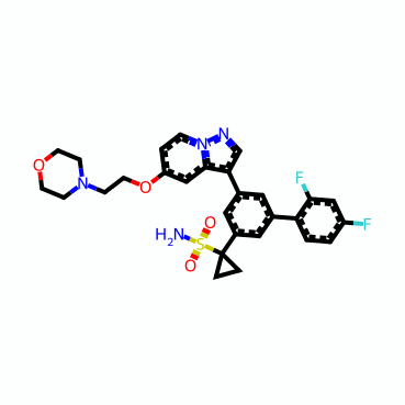 NS(=O)(=O)C1(c2cc(-c3ccc(F)cc3F)cc(-c3cnn4ccc(OCCN5CCOCC5)cc34)c2)CC1